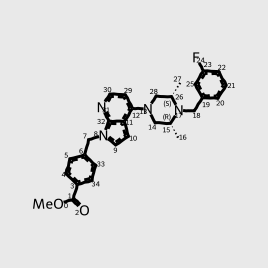 COC(=O)c1ccc(Cn2ccc3c(N4C[C@@H](C)N(Cc5cccc(F)c5)[C@@H](C)C4)ccnc32)cc1